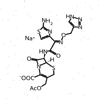 CC(=O)OCC1=C(C(=O)[O-])N2C(=O)[C@@H](NC(=O)/C(=N/OCc3c[nH]nn3)c3csc(N)n3)[C@H]2SC1.[Na+]